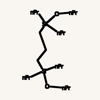 CCCO[Si](CCC)(CCC)CCC[Si](CCC)(CCC)OCCC